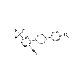 COc1ccc(N2CCN(c3nc(C(F)(F)F)ccc3C#N)CC2)cc1